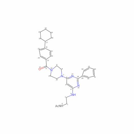 CC(=O)NCCNc1cc(N2CCN(C(=O)c3ccc(C4CCCCC4)cc3)CC2)nc(-c2ccccc2)n1